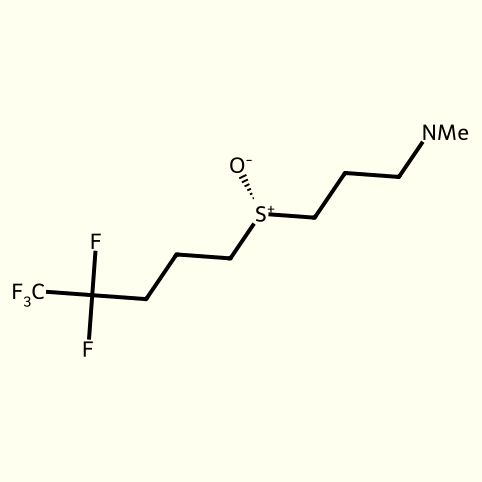 CNCCC[S@@+]([O-])CCCC(F)(F)C(F)(F)F